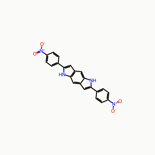 O=[N+]([O-])c1ccc(-c2cc3cc4[nH]c(-c5ccc([N+](=O)[O-])cc5)cc4cc3[nH]2)cc1